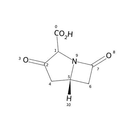 O=C(O)C1C(=O)C[C@H]2CC(=O)N12